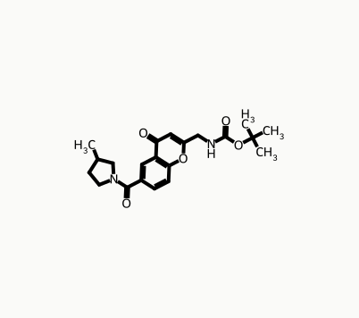 CC1CCN(C(=O)c2ccc3oc(CNC(=O)OC(C)(C)C)cc(=O)c3c2)C1